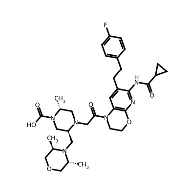 C[C@@H]1CN(CC(=O)N2CCOc3nc(NC(=O)C4CC4)c(CCc4ccc(F)cc4)cc32)[C@@H](CN2[C@H](C)COC[C@H]2C)CN1C(=O)O